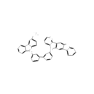 N#Cc1ccc2c(c1)c1ccccc1n2-c1cccc(-c2cccc(-n3c4cc5c(cc4c4ncccc43)sc3ccccc35)c2)c1